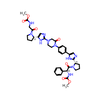 COC(=O)NCC(=O)N1CCC[C@H]1c1cnc(N2CCN(c3ccc(-c4cnc([C@@H]5CCCN5C(=O)[C@H](NC(=O)OC)c5ccccc5)[nH]4)cc3)C(=O)C2)[nH]1